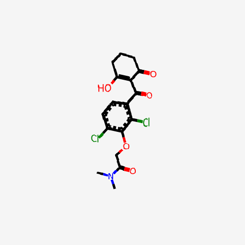 CN(C)C(=O)COc1c(Cl)ccc(C(=O)C2=C(O)CCCC2=O)c1Cl